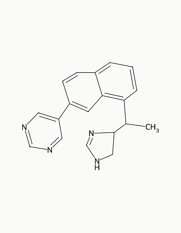 CC(c1cccc2ccc(-c3cncnc3)cc12)C1CNC=N1